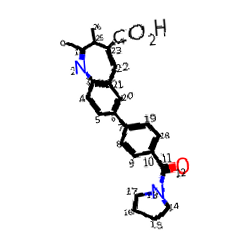 CC1=Nc2ccc(-c3ccc(C(=O)N4CCCC4)cc3)cc2C=C(C(=O)O)C1C